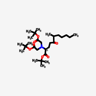 CCCCCC(C)C(=O)CC[C@@H](C(=O)OC(C)(C)C)N(CC(=O)OC(C)(C)C)CC(=O)OC(C)(C)C